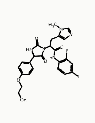 Cn1cncc1CC(C(=O)Nc1ccc(I)cc1F)N1C(=O)NC(c2ccc(OCCO)cc2)C1=O